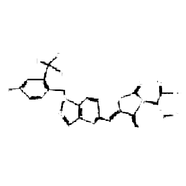 O=C(O)[C@H](CO)N1C(=O)S/C(=C\c2ccc3c(cnn3Cc3ccc(Cl)cc3C(F)(F)F)c2)C1=O